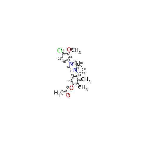 COc1cc(N2CCN3[C@@H](CCC[C@@H]3c3ccc(OCC(C)=O)c(C)c3C)C2)ccc1Cl